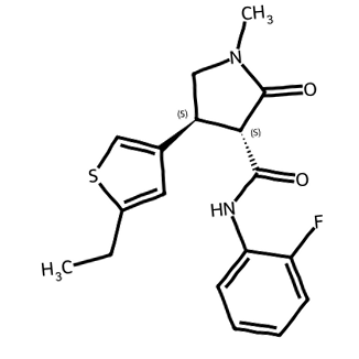 CCc1cc([C@H]2CN(C)C(=O)[C@@H]2C(=O)Nc2ccccc2F)cs1